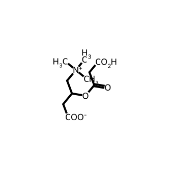 C[N+](C)(C)CC(CC(=O)[O-])OC(=O)CC(=O)O